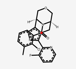 Cc1cccc(C(=O)N2[C@H]3COC[C@@H]2c2nnc(-c4ncccc4F)n2C3)c1Cl